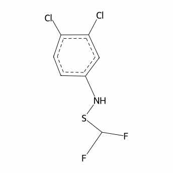 FC(F)SNc1ccc(Cl)c(Cl)c1